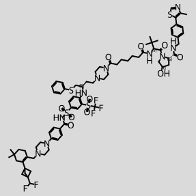 Cc1ncsc1-c1ccc(CNC(=O)[C@@H]2C[C@@H](O)CN2C(=O)[C@@H](NC(=O)CCCCCC(=O)N2CCN(CC[C@H](CSc3ccccc3)Nc3ccc(S(=O)(=O)NC(=O)c4ccc(N5CCN(CC6=C(C78CC(C(F)F)(C7)C8)CC(C)(C)CC6)CC5)cc4)cc3S(=O)(=O)C(F)(F)F)CC2)C(C)(C)C)cc1